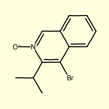 CC(C)c1c(Br)c2ccccc2c[n+]1[O-]